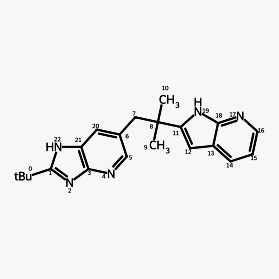 CC(C)(C)c1nc2ncc(CC(C)(C)c3cc4cccnc4[nH]3)cc2[nH]1